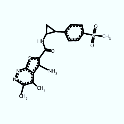 Cc1nnc2sc(C(=O)NC3CC3c3ccc(S(C)(=O)=O)cc3)c(N)c2c1C